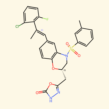 C/C(=C\c1ccc2c(c1)N(S(=O)(=O)c1cccc(C)c1)C[C@H](Cc1n[nH]c(=O)o1)O2)c1c(F)cccc1Cl